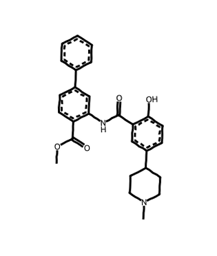 COC(=O)c1ccc(-c2ccccc2)cc1NC(=O)c1cc(C2CCN(C)CC2)ccc1O